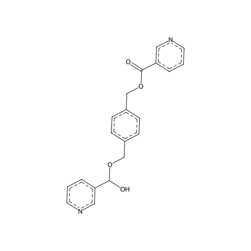 O=C(OCc1ccc(COC(O)c2cccnc2)cc1)c1cccnc1